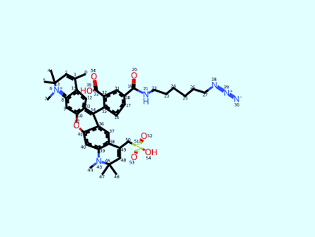 CC1=CC(C)(C)[N+](C)=c2cc3c(cc21)=C(c1ccc(C(=O)NCCCCCCN=[N+]=[N-])cc1C(=O)O)c1cc2c(cc1O3)N(C)C(C)(C)C=C2CS(=O)(=O)O